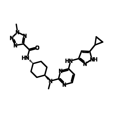 Cn1nnc(C(=O)N[C@H]2CC[C@H](N(C)c3nccc(Nc4cc(C5CC5)[nH]n4)n3)CC2)n1